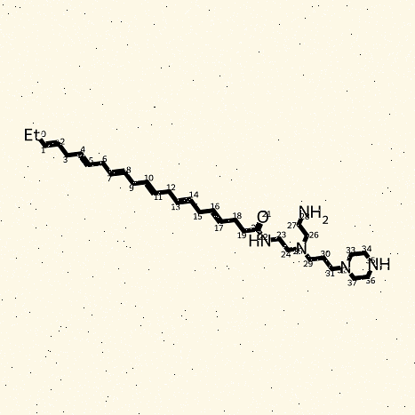 CCC=CCC=CCC=CCC=CCC=CCC=CCCC(=O)NCCN(CCN)CCCN1CCNCC1